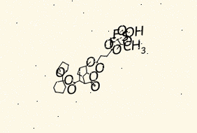 CC(OC(=O)CCC(=O)OC1C2CC3C1OC(=O)C3C2C(=O)OC1(C2CC3CCC2O3)CCCCC1)C(F)(F)S(=O)(=O)O